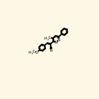 COc1ccc(/C=C(\C#N)c2nnc(-c3ccccc3)cc2C)cc1